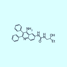 CCC(O)CNC(=O)Nc1ccc2nc(-c3ccccc3)c(-c3ccccc3)c(N)c2c1